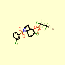 O=S(=O)(c1cccc(Cl)c1)n1ccc2c(OS(=O)(=O)C(F)(F)C(F)(F)C(F)(F)C(F)(F)F)c(Cl)ccc21